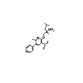 Cc1nc(OC[C@@](C)(N)CC(C)C)c(C(F)F)cc1-c1ccncc1